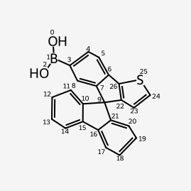 OB(O)c1ccc2c(c1)C1(c3ccccc3-c3ccccc31)c1ccsc1-2